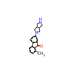 Cc1cccc2c1C(=O)c1cc(N3CC4CNCC4C3)ccc1-2